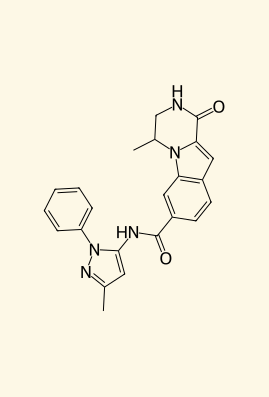 Cc1cc(NC(=O)c2ccc3cc4n(c3c2)C(C)CNC4=O)n(-c2ccccc2)n1